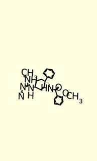 CCN/C(=N/C#N)N[C@H]1CC[C@@](CNC(=O)c2ccccc2OC)(c2ccccc2)CC1